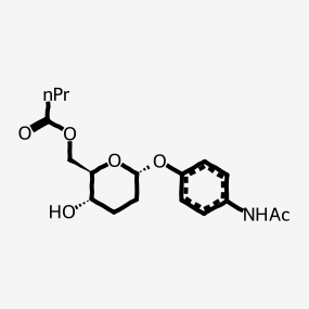 CCCC(=O)OC[C@H]1O[C@H](Oc2ccc(NC(C)=O)cc2)CC[C@@H]1O